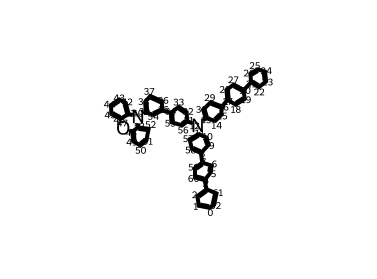 c1ccc(-c2ccc(-c3ccc(N(c4ccc(-c5ccc(-c6ccccc6)cc5)cc4)c4ccc(-c5cccc(N6c7ccccc7Oc7ccccc76)c5)cc4)cc3)cc2)cc1